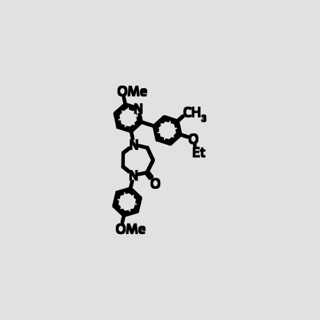 CCOc1ccc(-c2nc(OC)ccc2N2CCC(=O)N(c3ccc(OC)cc3)CC2)cc1C